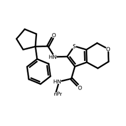 CCCNC(=O)c1c(NC(=O)C2(c3ccccc3)CCCC2)sc2c1CCOC2